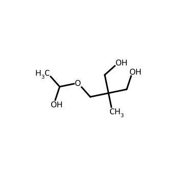 CC(O)OCC(C)(CO)CO